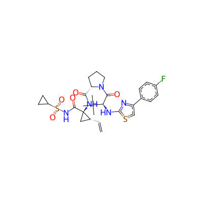 C=C[C@@H]1C[C@]1(NC(=O)[C@@H]1CCCN1C(=O)[C@@H](Nc1nc(-c2ccc(F)cc2)cs1)C(C)(C)C)C(=O)NS(=O)(=O)C1CC1